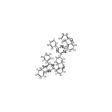 c1ccc(-c2nc(-c3ccc4c(c3)sc3cccc(-c5nc(-c6ccccc6)c6sc7ccccc7c6n5)c34)nc(-c3cccc4oc5ccccc5c34)n2)cc1